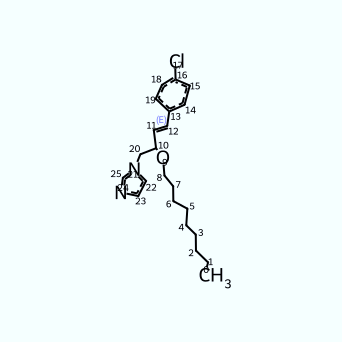 CCCCCCCCCOC(/C=C/c1ccc(Cl)cc1)Cn1ccnc1